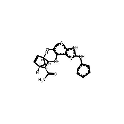 NC(=O)[C@@H]1[C@H](Nc2c(Cl)cnc3[nH]c(Nc4ccccc4)nc23)[C@H]2C=C[C@@H]1C2